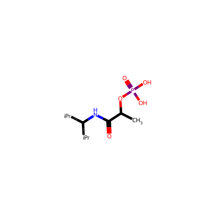 CC(OP(=O)(O)O)C(=O)NC(C(C)C)C(C)C